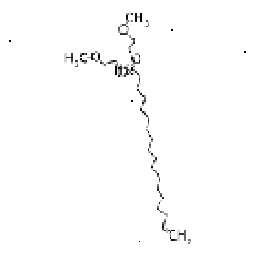 C=CCCCCCCCCCCCCCCC[SiH](OCCOC)OCCOC